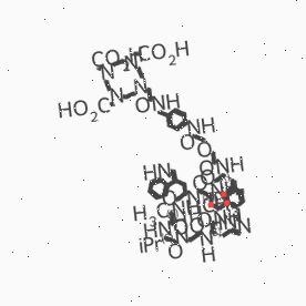 CC(C)CC(CC(C)C)NC(=O)[C@H](Cc1cnc[nH]1)NC(=O)CNC(=O)[C@@H](NC(=O)[C@H](C)NC(=O)C(Cc1c[nH]c2ccccc12)NC(=O)[C@H](C)NC(=O)[C@@H](Cc1ccccc1)NC(=O)COCC(=O)Nc1ccc(CNC(=O)CN2CCN(CC(=O)O)CCN(CC(=O)O)CCN(CC(=O)O)CC2)cc1)C(C)C